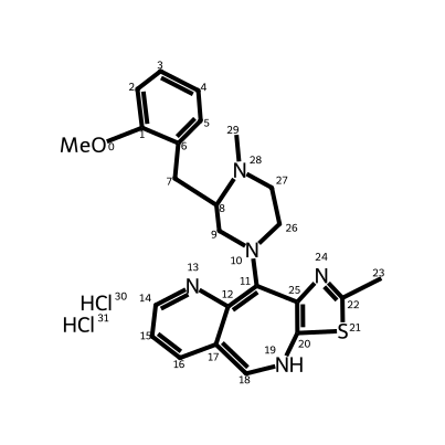 COc1ccccc1CC1CN(C2=c3ncccc3=CNc3sc(C)nc32)CCN1C.Cl.Cl